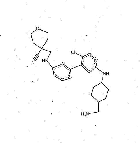 N#CC1(CNc2cccc(-c3cc(N[C@H]4CC[C@H](CN)CC4)ncc3Cl)n2)CCOCC1